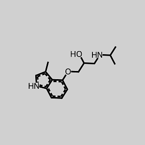 Cc1c[nH]c2cccc(OCC(O)CNC(C)C)c12